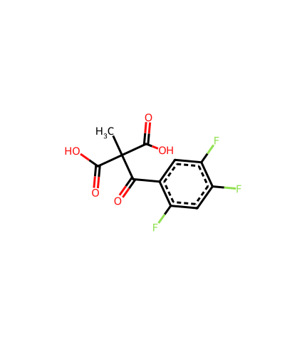 CC(C(=O)O)(C(=O)O)C(=O)c1cc(F)c(F)cc1F